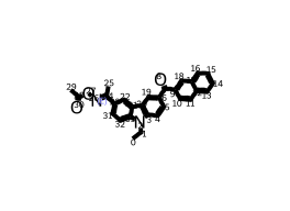 CCn1c2ccc(C(=O)c3ccc4ccccc4c3)cc2c2cc(/C(C)=N/OC(C)=O)ccc21